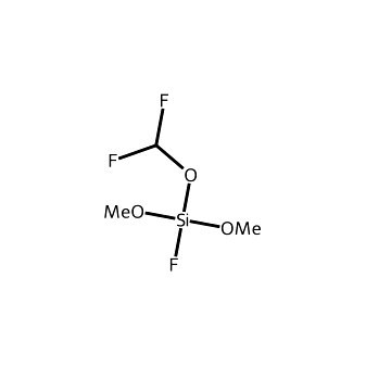 CO[Si](F)(OC)OC(F)F